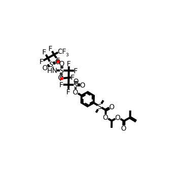 C=C(C)C(=O)OC(C)OC(=O)S(C)(C)c1ccc(OS(=O)(=O)C(F)(F)C(F)(F)C(F)(F)S(=O)(=O)NS(=O)(=O)C(F)(F)C(F)(F)C(F)(F)F)cc1